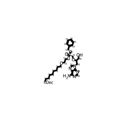 CCCCCCCCCCCCCCCCCCOCCO[P@@](=O)(COC(CO)Cn1cnc2c(N)ncnc21)OCc1ccccc1